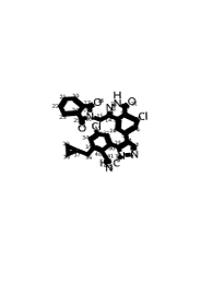 Cn1ncc(-c2cc(Cl)c3c(=O)[nH]nc(CN4C(=O)c5ccccc5C4=O)c3c2)c1-c1cc(Cl)cc(CC2CC2)c1C#N